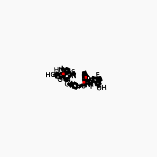 C#Cc1c(F)ccc2cc(O)cc(-c3ncc4c(N5CC6CCC(C5)N6C(=O)OC(C)(C)C)nc(OCCN5CCC6(CC5)CC(Oc5cc([C@@H](C(=O)N7C[C@H](O)C[C@H]7C(=O)N[C@@H](C)c7ccc(-c8scnc8C)cc7)C(C)C)on5)C6)nc4c3F)c12